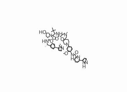 COc1cc(N2CCC3(CC2)CN(C)C[C@@H](C(=O)N[C@H](C(=O)N2C[C@H](O)C[C@H]2C(=O)N[C@@H](C)c2ccc(-c4ccnn4C)cc2)C(C)(C)C)O3)ccc1NC(=O)c1cccc(-c2ccn[nH]2)n1